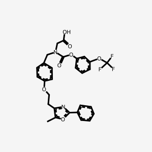 Cc1oc(-c2ccccc2)nc1CCOc1ccc(CN(CC(=O)O)C(=O)Oc2cccc(OC(F)(F)F)c2)cc1